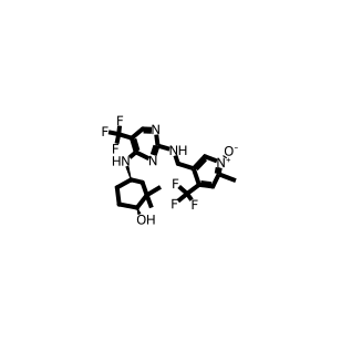 Cc1cc(C(F)(F)F)c(CNc2ncc(C(F)(F)F)c(N[C@@H]3CC[C@H](O)C(C)(C)C3)n2)c[n+]1[O-]